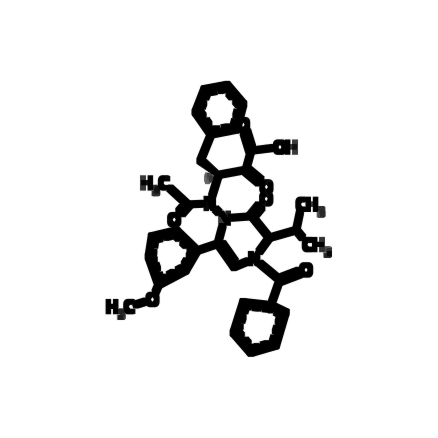 COc1cccc(C2=CN(C(=O)c3ccccc3)C(C(C)C)C(=O)N2N(C(C)=O)[C@@H](Cc2ccccc2)C(=O)C(=O)O)c1